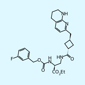 CCOC(=O)[C@H](CNC(=O)[C@H]1C[C@H](Cc2ccc3c(n2)NCCC3)C1)NC(=O)OCc1cccc(F)c1